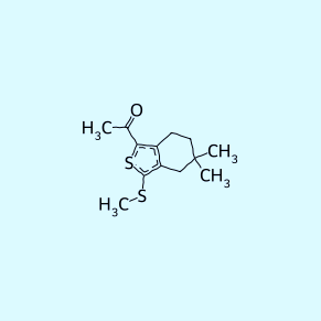 CSc1sc(C(C)=O)c2c1CC(C)(C)CC2